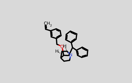 C=Cc1cccc(CO[C@@H]2C3CCN(CC3)[C@@H]2C(c2ccccc2)c2ccccc2)c1